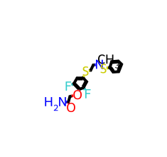 CN(CCSc1cc(F)c(OCC(N)=O)c(F)c1)Sc1ccccc1